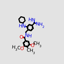 COc1cc(C(=O)NCc2ccc(C(=N)N)cc2NC2CCCCC2)cc(OC)c1C